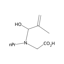 C=C(C)C(O)N(CCC)CC(=O)O